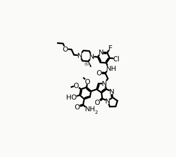 CCOCCN1CCN(c2cc(NC(=O)Cn3cc(-c4cc(C(N)=O)c(O)c(OC)c4OC)c4c(=O)n5c(nc43)CCC5)c(Cl)c(F)n2)[C@@H](C)C1